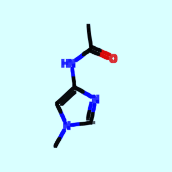 CC(=O)Nc1cn(C)[c]n1